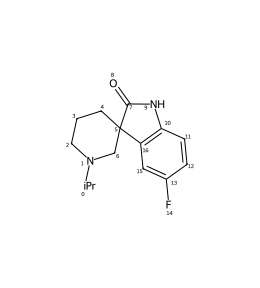 CC(C)N1CCCC2(C1)C(=O)Nc1ccc(F)cc12